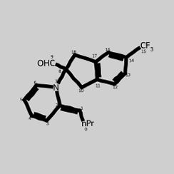 CCC/C=C1\C=CC=CN1C1(C=O)Cc2ccc(C(F)(F)F)cc2C1